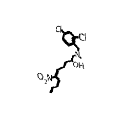 C=C/C=C\C(=C/CCC(O)CN(C)Cc1ccc(Cl)cc1Cl)[N+](=O)[O-]